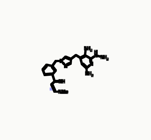 CN/C=C\C(=N)c1cccc(Cn2cc(Cc3cc(N)nc(NN)c3N)cn2)c1